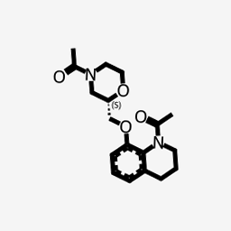 CC(=O)N1CCO[C@H](COc2cccc3c2N(C(C)=O)CCC3)C1